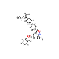 Cc1noc(-c2ccc(-c3ccc(C4(C(=O)O)CC4)cc3)cc2)c1C=C[S+]([O-])Cc1ccccc1